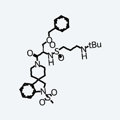 CC(C)(C)NCCCS(=O)(=O)N[C@H](COCc1ccccc1)C(=O)N1CCC2(CC1)CN(S(C)(=O)=O)c1ccccc12